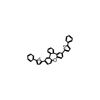 c1ccc(-c2ccc(-c3ccc4c(c3)-c3ccccc3-c3cc(-c5ccc(-c6ccccc6)s5)ccc3O4)s2)cc1